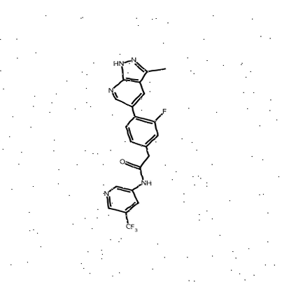 Cc1n[nH]c2ncc(-c3ccc(CC(=O)Nc4cncc(C(F)(F)F)c4)cc3F)cc12